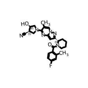 Cc1cc(F)ccc1C(=O)N1CCCC[C@H]1c1cc2nc(N3C[C@@H](C#N)[C@@H](O)C3)c(C)cn2n1